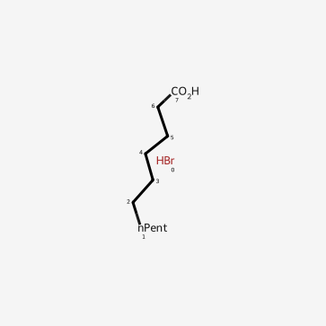 Br.CCCCCCCCCCC(=O)O